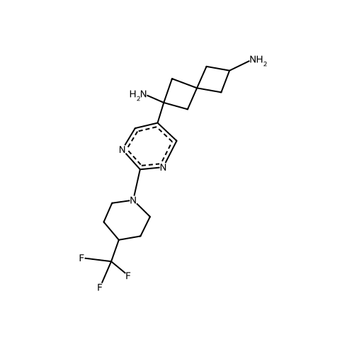 NC1CC2(C1)CC(N)(c1cnc(N3CCC(C(F)(F)F)CC3)nc1)C2